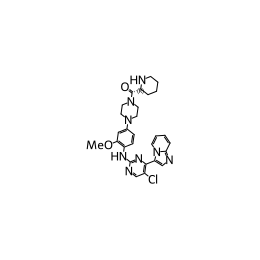 COc1cc(N2CCN(C(=O)[C@H]3CCCCN3)CC2)ccc1Nc1ncc(Cl)c(-c2cnc3ccccn23)n1